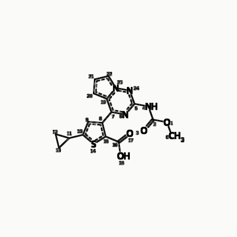 COC(=O)Nc1nc(-c2cc(C3CC3)sc2C(=O)O)c2cccn2n1